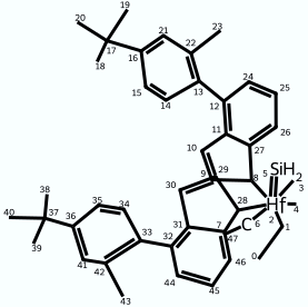 C[CH2][Hf]([CH3])([CH3])(=[SiH2])([CH2]C)([CH]1C=Cc2c(-c3ccc(C(C)(C)C)cc3C)cccc21)[CH]1C=Cc2c(-c3ccc(C(C)(C)C)cc3C)cccc21